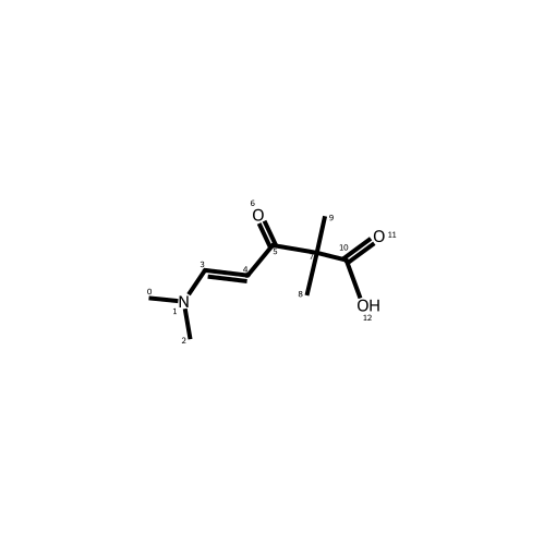 CN(C)/C=C/C(=O)C(C)(C)C(=O)O